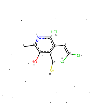 Cc1ncc(C=C(Cl)Cl)c(CS)c1O.Cl